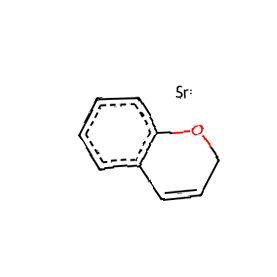 C1=Cc2ccccc2OC1.[Sr]